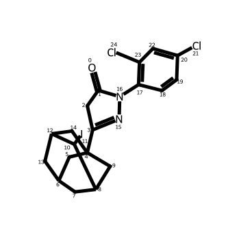 O=C1CC(C23CC4CC(C2)C(I)C(C4)C3)=NN1c1ccc(Cl)cc1Cl